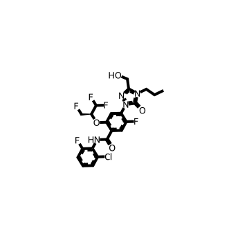 CCCn1c(CO)nn(-c2cc(O[C@@H](CF)C(F)F)c(C(=O)Nc3c(F)cccc3Cl)cc2F)c1=O